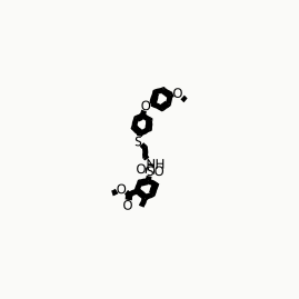 COC(=O)c1cc(S(=O)(=O)NCCSc2ccc(Oc3ccc(OC)cc3)cc2)ccc1C